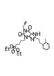 C#CCn1c(=O)c2[nH]c(CCc3ccccc3C)nc2n(CCCCP(=O)(OCC)OCC)c1=O